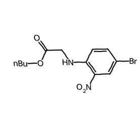 CCCCOC(=O)CNc1ccc(Br)cc1[N+](=O)[O-]